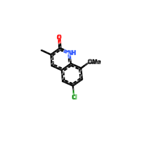 COc1cc(Cl)cc2cc(C)c(=O)[nH]c12